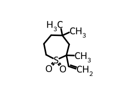 C=CC1(C)CC(C)(C)CCCS1(=O)=O